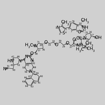 Cc1ncsc1-c1ccc([C@H](C)NC(=O)[C@@H]2C[C@@H](O)CN2C(=O)C(NC(=O)COCCOCCO[C@@H]2C[C@@H](COc3nc4c(c(N5CCNC(CC#N)C5)n3)CCN(c3cccc5ccccc35)C4)N(C)C2)C(C)(C)C)cc1